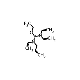 C=CCN(C=C)P(OCC(F)(F)F)N(C=C)C=C